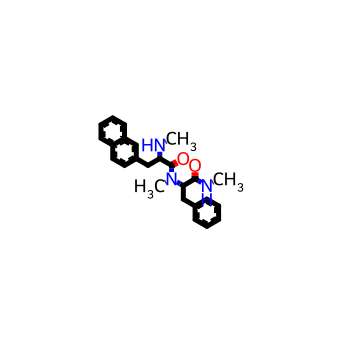 CNC(=O)C(Cc1ccccc1)N(C)C(=O)C(Cc1ccc2ccccc2c1)NC